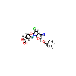 CC(C)COCCOc1nc(Oc2cc3c(cc2F)B(O)OC3)c(Cl)cc1C#N